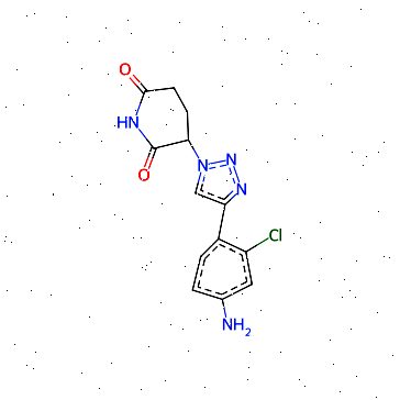 Nc1ccc(-c2cn(C3CCC(=O)NC3=O)nn2)c(Cl)c1